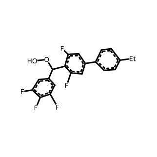 CCc1ccc(-c2cc(F)c(C(OO)c3cc(F)c(F)c(F)c3)c(F)c2)cc1